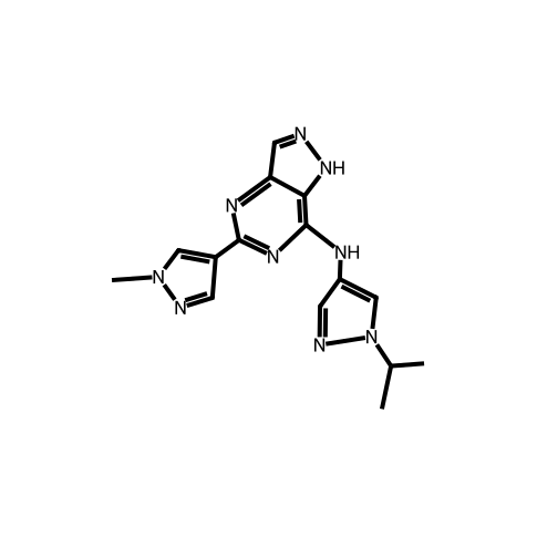 CC(C)n1cc(Nc2nc(-c3cnn(C)c3)nc3cn[nH]c23)cn1